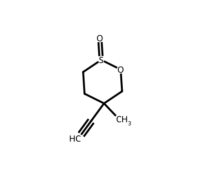 C#CC1(C)CCS(=O)OC1